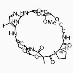 COc1cc2ccc1OCCNC(=O)[C@H]1CCCN1C(=O)C1(C)Oc3ccc(cc3NC1=O)NC1=C(F)C=NC(N1)N2